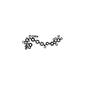 COc1cc(N2CCC(N3CCN(C(=O)[C@@H]4CCN(c5ccc6c(c5)C(=O)N(C5CCC(=O)NC5=O)C6=O)C4)CC3)CC2)ccc1Nc1ncc(Cl)c(Nc2cccc3c2N(S(C)(=O)=O)CC3)n1